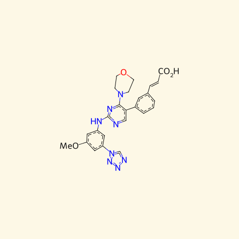 COc1cc(Nc2ncc(-c3cccc(C=CC(=O)O)c3)c(N3CCOCC3)n2)cc(-n2cnnn2)c1